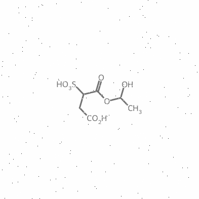 CC(O)OC(=O)C(CC(=O)O)S(=O)(=O)O